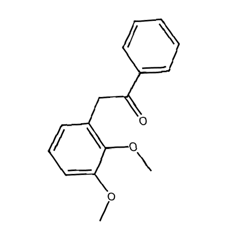 COc1cccc(CC(=O)c2ccccc2)c1OC